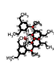 CCc1cc(CC)c([SiH](O[SiH](c2c(CC)cc(CC)cc2CC)c2c(CC)cc(CC)cc2CC)c2c(CC)cc(CC)cc2CC)c(CC)c1